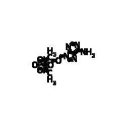 CCC(CC)(OCOCn1cnc2c(N)ncnc21)P(=O)(O)O